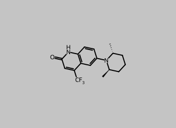 C[C@@H]1CCC[C@@H](C)N1c1ccc2[nH]c(=O)cc(C(F)(F)F)c2c1